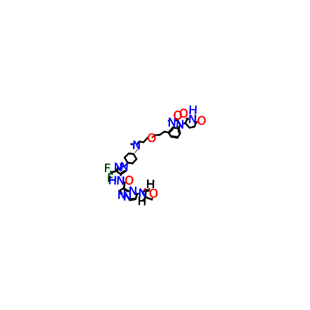 CN(CCCOCCCc1cccc2c1n(C)c(=O)n2C1CCC(=O)NC1=O)C[C@H]1CC[C@H](n2cc(NC(=O)c3cnn4ccc(N5C[C@H]6C[C@@H]5CO6)nc34)c(C(F)F)n2)CC1